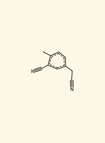 Cc1ccc(CC#N)cc1C#N